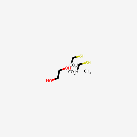 C.O=C(O)CS.O=C(O)CS.OCCO